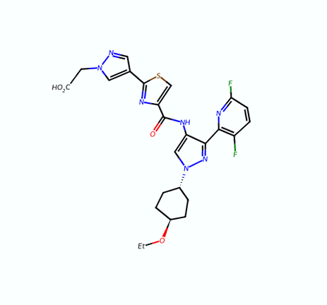 CCO[C@H]1CC[C@H](n2cc(NC(=O)c3csc(-c4cnn(CC(=O)O)c4)n3)c(-c3nc(F)ccc3F)n2)CC1